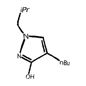 CCCCc1cn(CC(C)C)nc1O